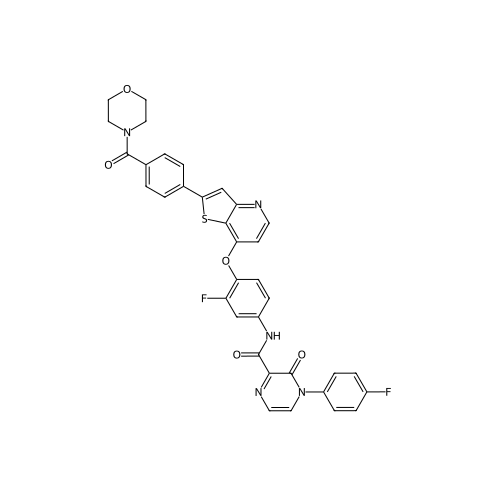 O=C(Nc1ccc(Oc2ccnc3cc(-c4ccc(C(=O)N5CCOCC5)cc4)sc23)c(F)c1)c1nccn(-c2ccc(F)cc2)c1=O